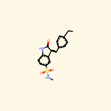 CCc1ccc(C=C2C(=O)Nc3ccc(S(=O)(=O)NC)cc32)cc1